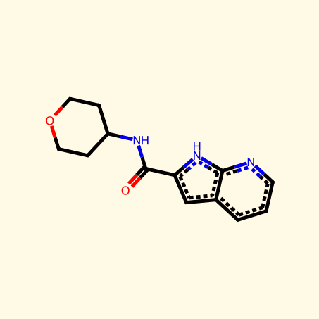 O=C(NC1CCOCC1)c1cc2cccnc2[nH]1